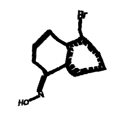 ON=C1CCCc2c(Br)cccc21